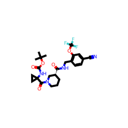 CC(C)(C)OC(=O)NC1(C(=O)N2CCC[C@@H](C(=O)NCc3ccc(C#N)cc3OC(F)(F)F)C2)CC1